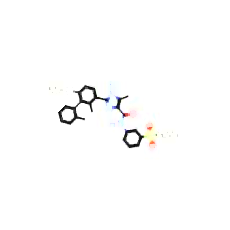 CNS(=O)(=O)c1cccc(NC(=O)c2nc(-c3ccc(OC)c(-c4ccccc4C)c3C)[nH]c2C)c1